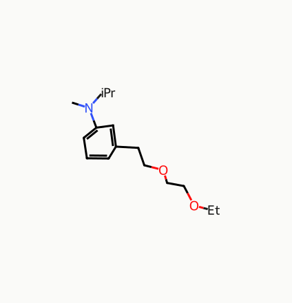 CCOCCOCCc1cccc(N(C)C(C)C)c1